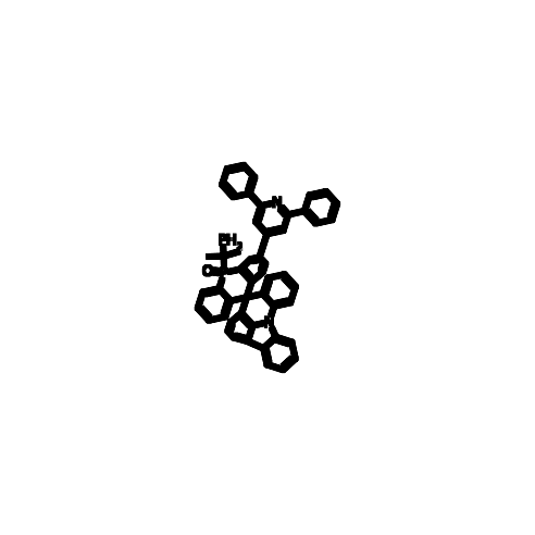 CC(C)(P)P1(=O)c2ccccc2C2(c3ccccc3-n3c4ccccc4c4cccc2c43)c2ccc(-c3cc(-c4ccccc4)nc(-c4ccccc4)c3)cc21